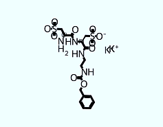 N[C@@H](CS(=O)(=O)[O-])C(=O)N[C@@H](CS(=O)(=O)[O-])C(=O)NCCNC(=O)OCc1ccccc1.[K+].[K+]